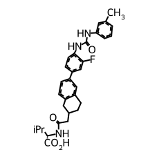 Cc1cccc(NC(=O)Nc2ccc(-c3ccc4c(c3)CCC(CC(=O)N[C@H](C(=O)O)C(C)C)C4)cc2F)c1